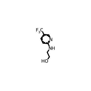 OCCNc1ccc(C(F)(F)F)cn1